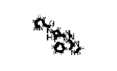 O=C(NC1CC(c2nnc(-c3cnccn3)n2-c2ccccc2F)C1)c1ccccn1